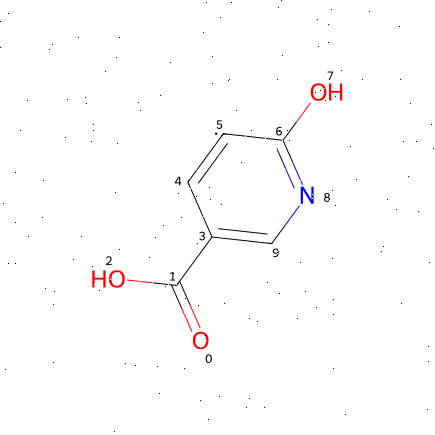 O=C(O)c1c[c]c(O)nc1